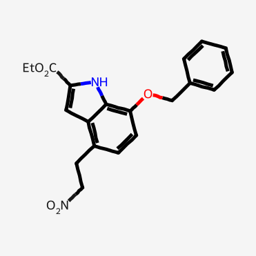 CCOC(=O)c1cc2c(CC[N+](=O)[O-])ccc(OCc3ccccc3)c2[nH]1